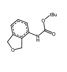 CC(C)(C)OC(=O)Nc1cccc2c1COC2